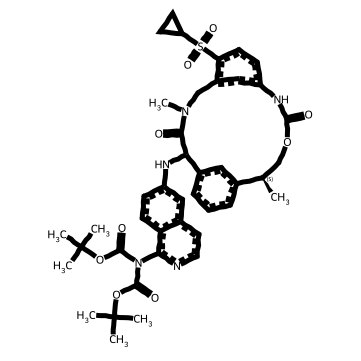 C[C@@H]1COC(=O)Nc2ccc(S(=O)(=O)C3CC3)c(c2)CN(C)C(=O)C(Nc2ccc3c(N(C(=O)OC(C)(C)C)C(=O)OC(C)(C)C)nccc3c2)c2cccc1c2